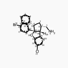 NC[C@H]1C[C@@H](c2ccccc2)[C@@]2(c3ccc(Br)cc3)Oc3cc(Cl)cnc3[C@@H]12